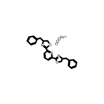 [Cl-].[Cl-].[Cl-].[Fe+3].c1ccc(CC2COC(c3cccc(C4=NC(Cc5ccccc5)CO4)n3)=N2)cc1